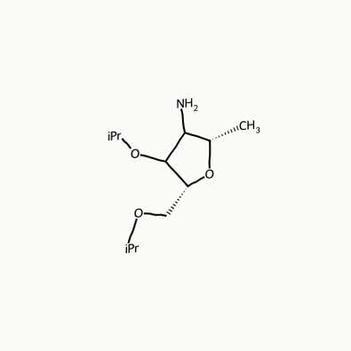 CC(C)OC[C@H]1O[C@@H](C)C(N)C1OC(C)C